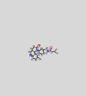 CC(C)=CC(=O)N1Cc2ccc(-n3c(=O)ccc4cnc5ccc(C)cc5c43)cc2C1